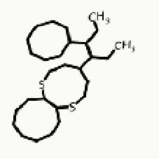 CCC(C1CCCCCCC1)C(CC)C1CCSC2CCCCCCCC2SCC1